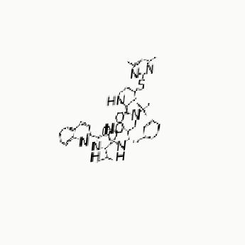 Cc1cc(C)nc(S[C@@H]2CCNC(C(=O)N(C[C@@H](O)[C@H](Cc3ccccc3)NC(=O)[C@@H](NC(=O)c3ccc4ccccc4n3)C(C)C)C(C)(C)C)C2)n1